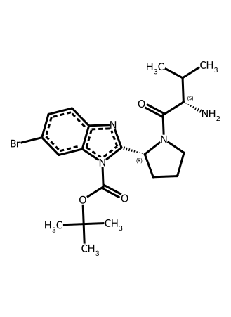 CC(C)[C@H](N)C(=O)N1CCC[C@@H]1c1nc2ccc(Br)cc2n1C(=O)OC(C)(C)C